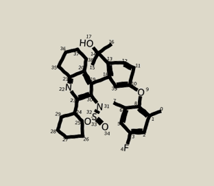 Cc1cc(F)cc(C)c1Oc1ccc(C(C)(C)O)c(-c2c3c(nc(C4CCCCC4)c2N=S(=O)=O)CCCC3)c1